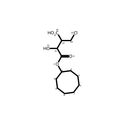 O=C(OC1CCCCCCC1)C(O)C(CCl)C(=O)O